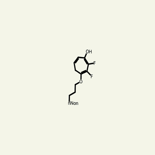 CCCCCCCCCCCCOC1=C(F)C(F)=C(O)C=CC1